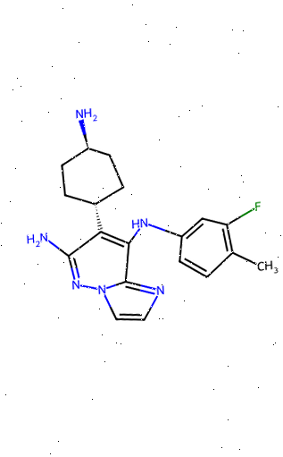 Cc1ccc(Nc2c3nccn3nc(N)c2[C@H]2CC[C@H](N)CC2)cc1F